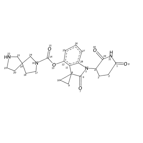 O=C1CCC(N2C(=O)C3(CC3)c3c(OC(=O)N4CCC5(CCNC5)C4)cccc32)C(=O)N1